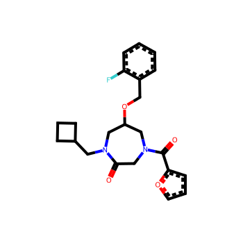 O=C1CN(C(=O)c2ccco2)CC(OCc2ccccc2F)CN1CC1CCC1